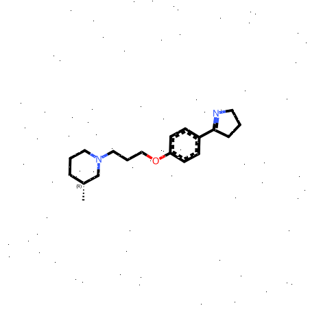 C[C@@H]1CCCN(CCCOc2ccc(C3=NCCC3)cc2)C1